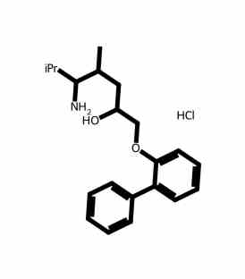 CC(C)C(N)C(C)CC(O)COc1ccccc1-c1ccccc1.Cl